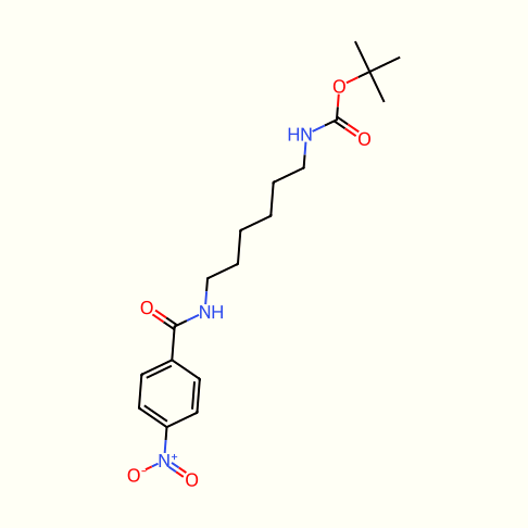 CC(C)(C)OC(=O)NCCCCCCNC(=O)c1ccc([N+](=O)[O-])cc1